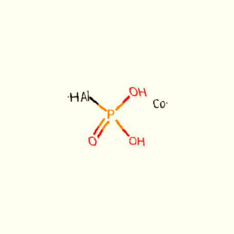 O=[P](O)(O)[AlH].[Co]